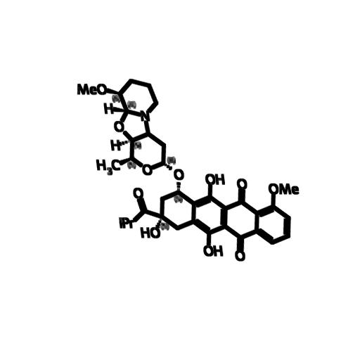 COc1cccc2c1C(=O)c1c(O)c3c(c(O)c1C2=O)C[C@@](O)(C(=O)C(C)C)C[C@@H]3O[C@H]1CC2[C@H](O[C@@H]3[C@@H](OC)CCCN23)[C@H](C)O1